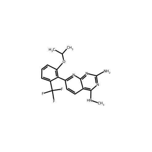 CNc1nc(N)nc2nc(-c3c(OC(C)C)cccc3C(F)(F)F)ccc12